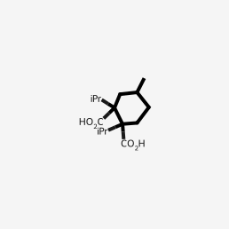 CC1CCC(C(=O)O)(C(C)C)C(C(=O)O)(C(C)C)C1